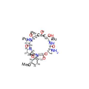 CC[C@H](C)[C@H]1NC(=O)[C@@H](N)[C@@H](C)OC(=O)[C@H](Cc2ccc(OC)cc2)N(C)C(=O)[C@@H]2CCCN2C(=O)[C@H](CC(C)C)NC(=O)[C@H](C(C)C)CC(=O)C[C@@H]1O